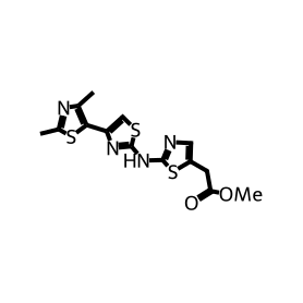 COC(=O)Cc1cnc(Nc2nc(-c3sc(C)nc3C)cs2)s1